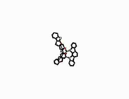 c1ccc(-c2cc(-c3ccccc3)cc(-n3c4ccccc4c4ccc5c6ccccc6n(-c6nc(-c7ccccc7)nc(-c7ccc8c(c7)oc7ccccc78)n6)c5c43)c2)cc1